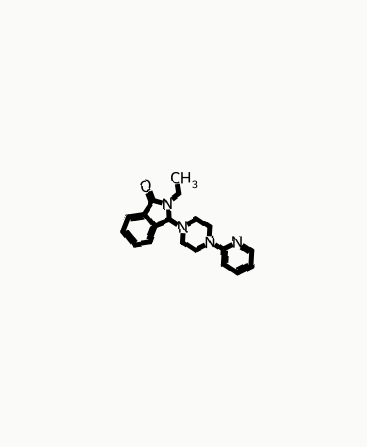 CCN1C(=O)c2ccccc2C1N1CCN(c2ccccn2)CC1